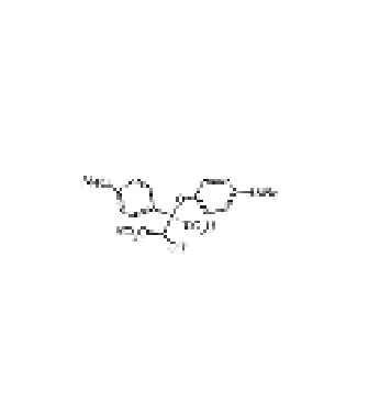 COc1ccc(O[C@](C(=O)O)(c2ccc(OC)cc2)[C@@H](O)C(=O)O)cc1